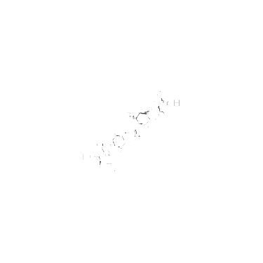 C=C(C)C(=O)Sc1ccc(OC(=O)c2ccc(SC(=O)C(=C)C)cc2F)cc1